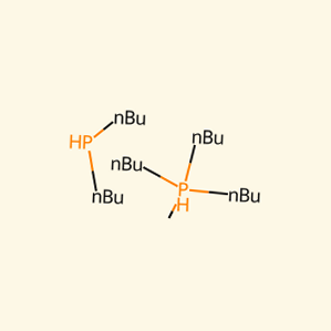 CCCCPCCCC.CCCC[PH](C)(CCCC)CCCC